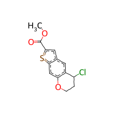 COC(=O)c1cc2cc3c(cc2s1)OCCC3Cl